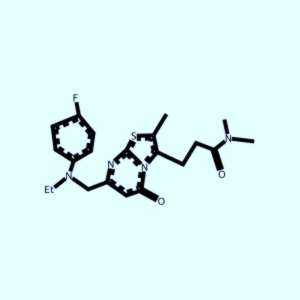 CCN(Cc1cc(=O)n2c(CCC(=O)N(C)C)c(C)sc2n1)c1ccc(F)cc1